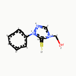 OCn1cnn(-c2ccccc2)c1=S